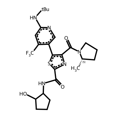 C[C@H]1CCCN1C(=O)c1nc(C(=O)NC2CCCC2O)sc1-c1cnc(NC(C)(C)C)cc1C(F)(F)F